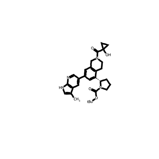 Cc1c[nH]c2ncc(-c3cc4c(c([C@@H]5CCCN5C(=O)OC(C)(C)C)c3)CCN(C(=O)C3(O)CC3)C4)cc12